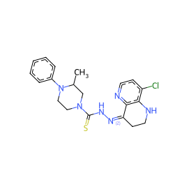 CC1CN(C(=S)N/N=C2/CCNc3c(Cl)ccnc32)CCN1c1ccccc1